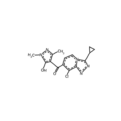 Cc1nn(C)c(O)c1C(=O)c1ccn2c(C3CC3)nnc2c1Cl